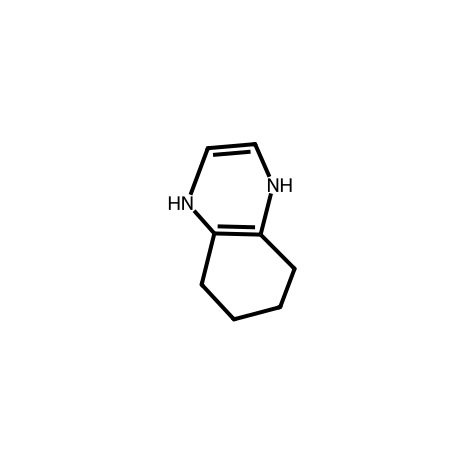 C1=CNC2=C(CCCC2)N1